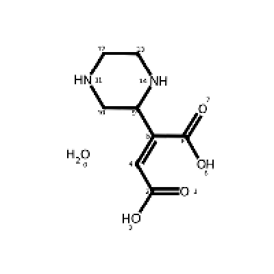 O.O=C(O)/C=C(\C(=O)O)C1CNCCN1